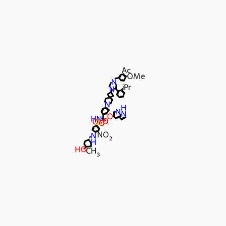 COc1ccc(CN2CCN(C3CC4(CCN(c5ccc(C(=O)NS(=O)(=O)c6ccc(NC[C@H]7CC[C@](C)(O)CC7)c([N+](=O)[O-])c6)c(Oc6cnc7[nH]ccc7c6)c5)CC4)C3)C(c3ccccc3C(C)C)C2)cc1C(C)=O